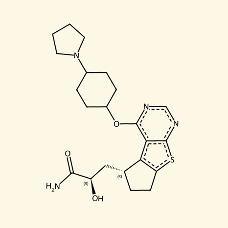 NC(=O)[C@H](O)C[C@H]1CCc2sc3ncnc(OC4CCC(N5CCCC5)CC4)c3c21